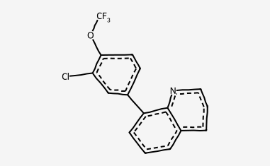 FC(F)(F)Oc1ccc(-c2cccc3cccnc23)cc1Cl